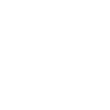 c1ccccc1.c1ccsc1.c1ccsc1.c1ccsc1.c1ccsc1